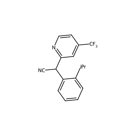 CC(C)c1ccccc1C(C#N)c1cc(C(F)(F)F)ccn1